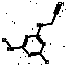 C#CCNc1nc(Cl)nc(NCC)n1